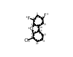 Fc1cc(F)c2oc3c(Cl)cccc3c2c1